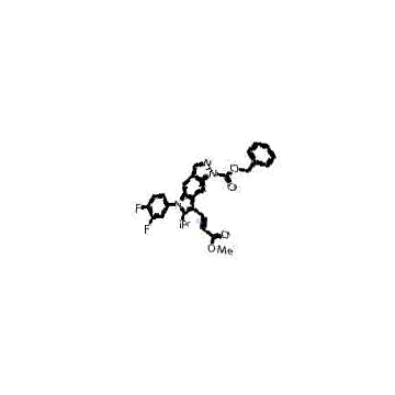 COC(=O)/C=C/c1c(C(C)C)n(-c2ccc(F)c(F)c2)c2cc3cnn(C(=O)OCc4ccccc4)c3cc12